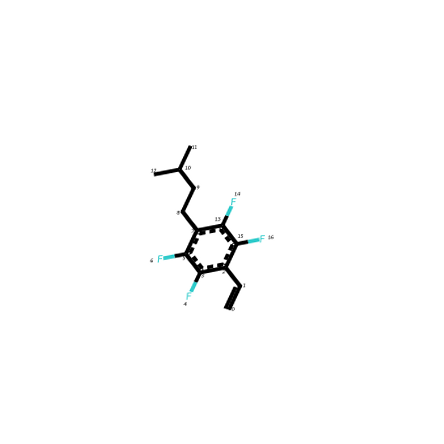 C=Cc1c(F)c(F)c(CCC(C)C)c(F)c1F